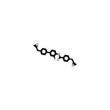 O=C(Oc1ccc(-c2ccc(CC3CO3)cc2)cc1F)c1ccc(CC2CO2)cc1